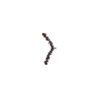 Cc1cc(-c2ccc3c(c2)C(C)(C)c2cc(-c4ccc5c(c4)C(C)(C)c4ccccc4-5)ccc2-3)cc(C)c1-c1ccc(-c2ccc(Nc3ccc(-c4ccc(-c5c(C)cc(-c6ccc7c(c6)C(C)(C)c6cc(-c8ccc9c(c8)C(C)(C)c8ccccc8-9)ccc6-7)cc5C)cc4)cc3)cc2)cc1